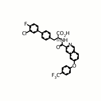 O=C(N[C@@H](Cc1ccc(-c2ccc(F)c(Cl)c2)cc1)C(=O)O)c1cc2cc(Oc3ccc(C(F)(F)F)cc3)ccc2cn1